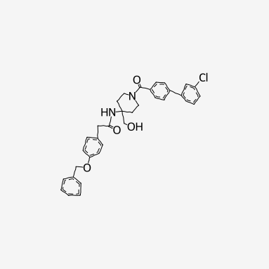 O=C(Cc1ccc(OCc2ccccc2)cc1)NC1(CO)CCN(C(=O)c2ccc(-c3cccc(Cl)c3)cc2)CC1